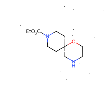 CCOC(=O)N1CCC2(CC1)CNCCO2